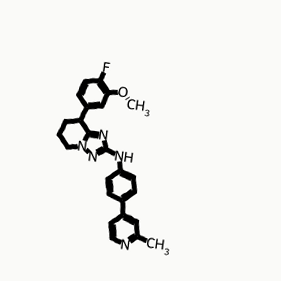 COc1cc(C2CCCn3nc(Nc4ccc(-c5ccnc(C)c5)cc4)nc32)ccc1F